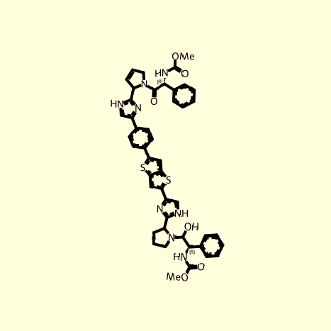 COC(=O)N[C@H](c1ccccc1)C(O)N1CCCC1c1nc(-c2cc3sc(-c4ccc(-c5c[nH]c(C6C=CCN6C(=O)[C@H](NC(=O)OC)c6ccccc6)n5)cc4)cc3s2)c[nH]1